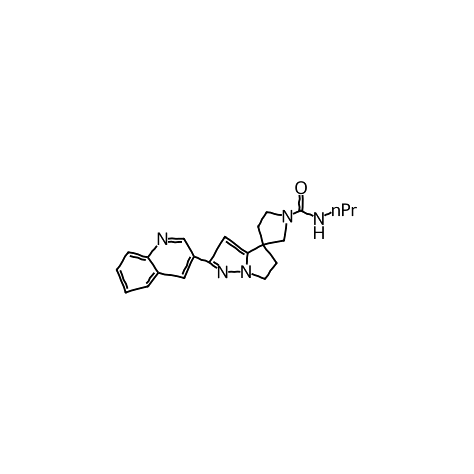 CCCNC(=O)N1CCC2(CCn3nc(-c4cnc5ccccc5c4)cc32)C1